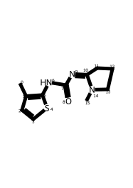 Cc1ccsc1NC(=O)N=C1CCCN1C